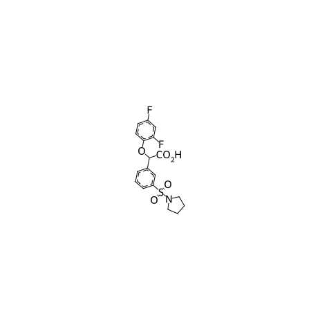 O=C(O)C(Oc1ccc(F)cc1F)c1cccc(S(=O)(=O)N2CCCC2)c1